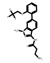 Cn1nc(NC(=O)CCN)c2ccc(-c3ccccc3OCC(F)(F)F)cc21